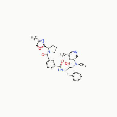 Cc1coc([C@H]2CCCN2C(=O)c2cccc(C(=O)N[C@@H](Cc3ccccc3)[C@H](O)CN(C)c3cncc(C(F)(F)F)c3)c2)n1